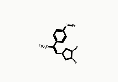 CCOC(=O)/C(=C/[C@H]1C[C@@H](F)[C@@H](F)C1)c1ccc(SCC)cc1